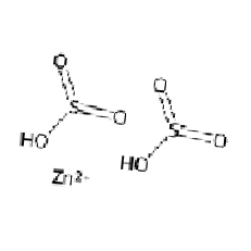 O=[S-](=O)O.O=[S-](=O)O.[Zn+2]